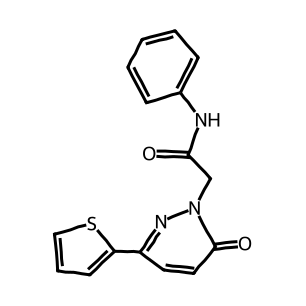 O=C(Cn1nc(-c2cccs2)ccc1=O)Nc1ccccc1